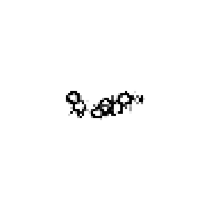 C[C@@H](c1ccccc1)N(C)C(=O)[C@H]1CC[C@H]2[C@@H]3CC[C@@H]4C[C@](C)(O)CC[C@@H]4[C@H]3CC[C@]12C